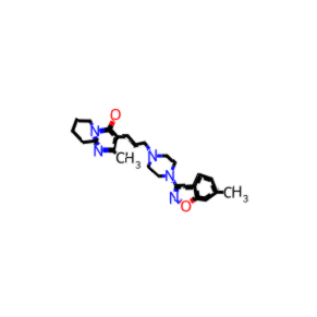 Cc1ccc2c(N3CCN(CCCc4c(C)nc5n(c4=O)CCCC5)CC3)noc2c1